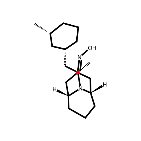 C[C@@H]1CCC[C@H](C[C@H](C)N2[C@@H]3CCC[C@H]2C/C(=N\O)C3)C1